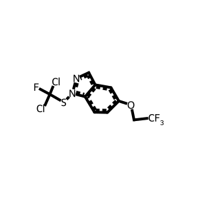 FC(F)(F)COc1ccc2c(cnn2SC(F)(Cl)Cl)c1